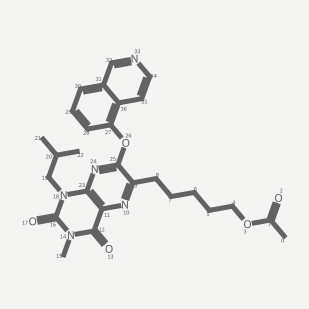 CC(=O)OCCCCCc1nc2c(=O)n(C)c(=O)n(CC(C)C)c2nc1Oc1cccc2cnccc12